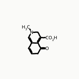 CN1C=C2C=CCC(=O)C2=C(C(=O)O)C1